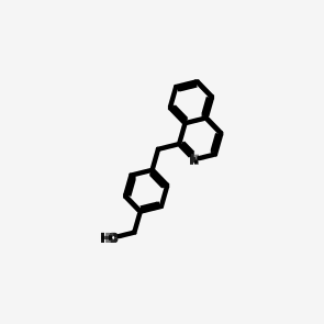 OCc1ccc(Cc2nccc3ccccc23)cc1